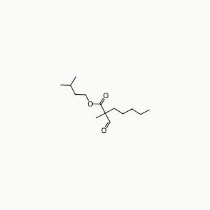 CCCCCC(C)(C=O)C(=O)OCCC(C)C